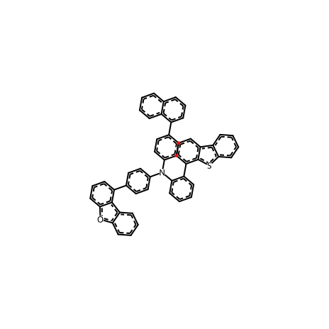 c1ccc(N(c2ccc(-c3cccc4ccccc34)cc2)c2ccc(-c3cccc4oc5ccccc5c34)cc2)c(-c2cccc3c2sc2ccccc23)c1